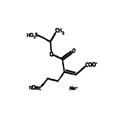 CCCCCCCCCCCCC(=CC(=O)[O-])C(=O)OC(C)S(=O)(=O)O.[Na+]